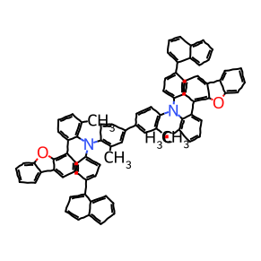 Cc1cc(-c2ccc(N(c3ccc(-c4cccc5ccccc45)cc3)c3c(C)cccc3-c3cccc4c3oc3ccccc34)c(C)c2)ccc1N(c1ccc(-c2cccc3ccccc23)cc1)c1c(C)cccc1-c1cccc2c1oc1ccccc12